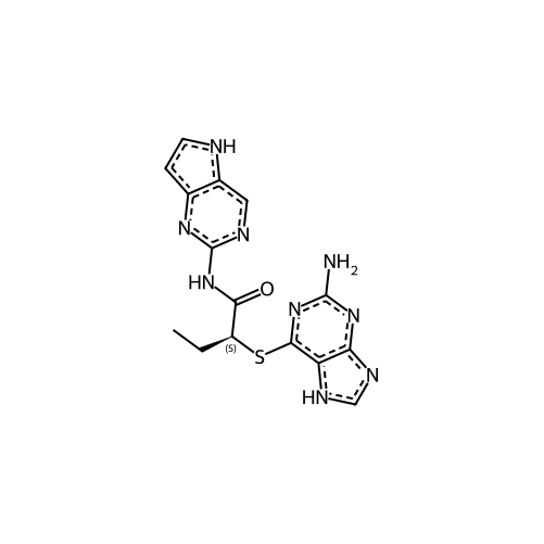 CC[C@H](Sc1nc(N)nc2nc[nH]c12)C(=O)Nc1ncc2[nH]ccc2n1